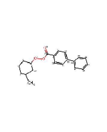 CC1CCC[C](OOC(=O)c2ccc(-c3ccccc3)cc2)C1